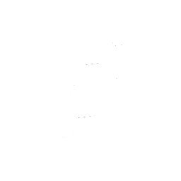 CCCCCCCCCC(O)[O][Sn]([CH3])([CH3])[O]C(O)CCCCCCCCC